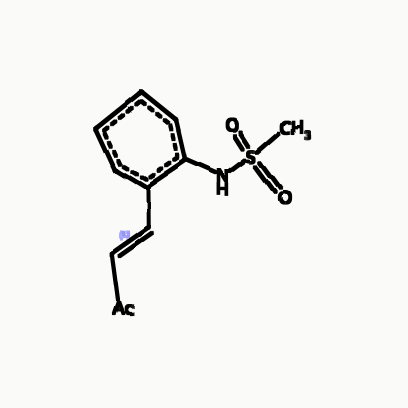 CC(=O)/C=C/c1ccccc1NS(C)(=O)=O